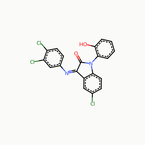 O=C1C(=Nc2ccc(Cl)c(Cl)c2)c2cc(Cl)ccc2N1c1ccccc1O